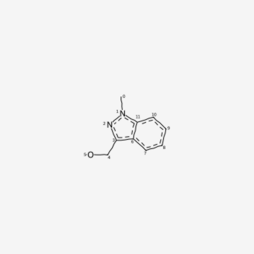 Cn1nc(C[O])c2ccccc21